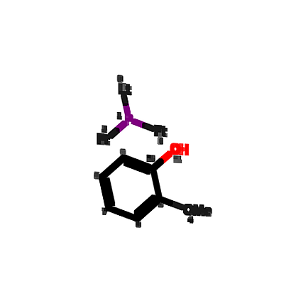 CCP(CC)CC.COc1ccccc1O